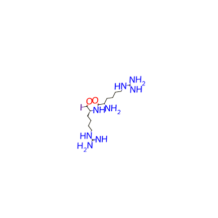 N=C(N)NCCCC[C@H](NC(=O)[C@@H](N)CCCCNC(=N)N)C(=O)I